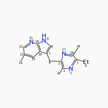 CCc1nc(C)c(Cc2c[nH]c3ncc(C)cc23)nc1C